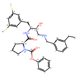 CCc1cccc(CNC[C@H](O)[C@H](Cc2cc(F)cc(F)c2)NC(=O)[C@@H]2CCCN2C(=O)Oc2ccccc2)c1